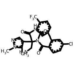 Cc1c(C2(CN)C(=O)NC(=O)N2C(=O)c2ccc(Cl)cc2-c2ccc(C(F)(F)F)cc2)cnn1C